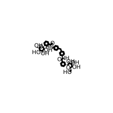 O=C(Nc1ccc(Cc2ccc(NC(=O)c3cccc([C@H]4O[C@H](CO)[C@@H](O)[C@H](O)[C@@H]4O)c3)cc2)cc1)c1cccc([C@H]2O[C@H](CO)[C@@H](O)[C@H](O)[C@H]2O)c1